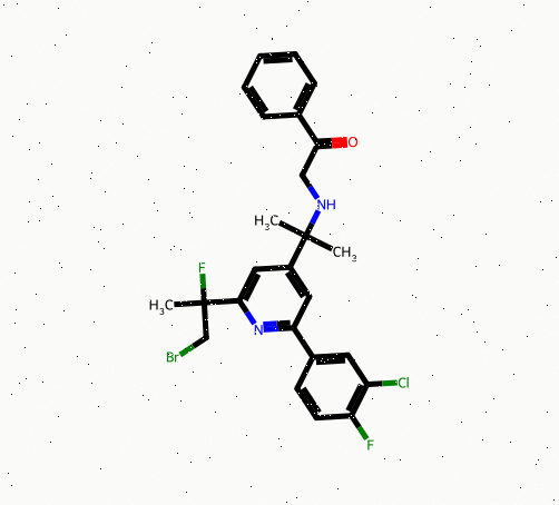 CC(F)(CBr)c1cc(C(C)(C)NCC(=O)c2ccccc2)cc(-c2ccc(F)c(Cl)c2)n1